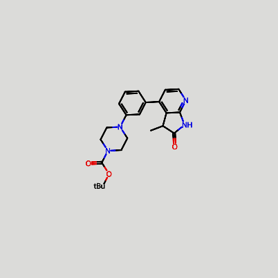 CC1C(=O)Nc2nccc(-c3cccc(N4CCN(C(=O)OC(C)(C)C)CC4)c3)c21